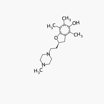 Cc1c(C)c2c(c(C)c1O)C[C@@H](CCN1CCN(C)CC1)O2